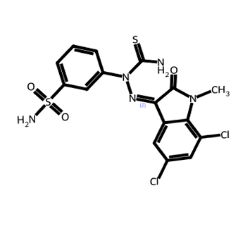 CN1C(=O)/C(=N\N(C(N)=S)c2cccc(S(N)(=O)=O)c2)c2cc(Cl)cc(Cl)c21